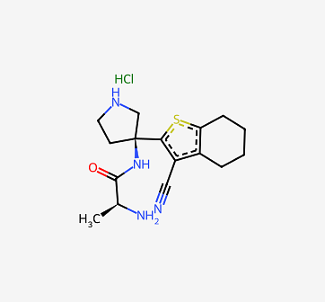 C[C@H](N)C(=O)N[C@@]1(c2sc3c(c2C#N)CCCC3)CCNC1.Cl